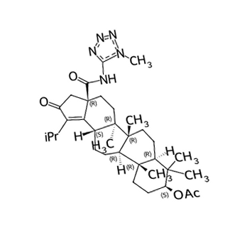 CC(=O)O[C@H]1CC[C@]2(C)[C@H]3CC[C@@H]4C5=C(C(C)C)C(=O)C[C@]5(C(=O)Nc5nnnn5C)CC[C@@]4(C)[C@]3(C)CC[C@H]2C1(C)C